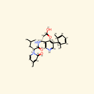 Cc1ccn([C@@H](CC(C)C)C(=O)N[C@H](CC(=O)O)c2cncc(-c3c(C)cccc3C)c2)c(=O)c1